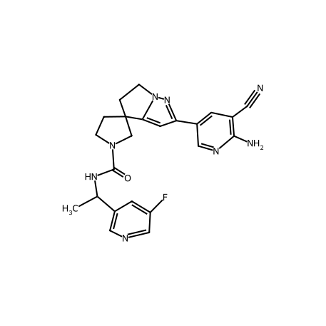 CC(NC(=O)N1CCC2(CCn3nc(-c4cnc(N)c(C#N)c4)cc32)C1)c1cncc(F)c1